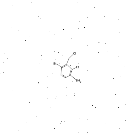 Bc1ccc(CC)c(CCl)c1CC